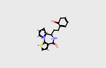 O=C1CC=CC=C1CCC1NC(=O)c2ccsc2-n2cccc21